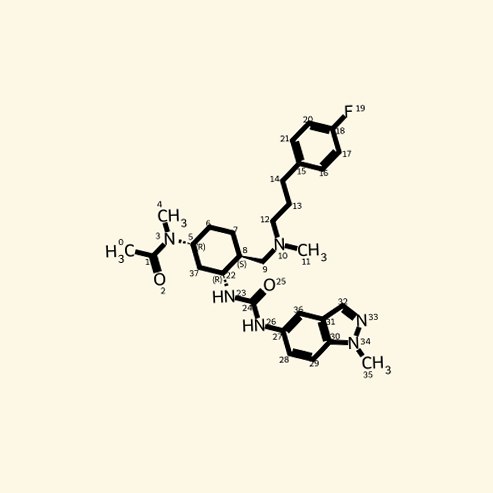 CC(=O)N(C)[C@@H]1CC[C@@H](CN(C)CCCc2ccc(F)cc2)[C@H](NC(=O)Nc2ccc3c(cnn3C)c2)C1